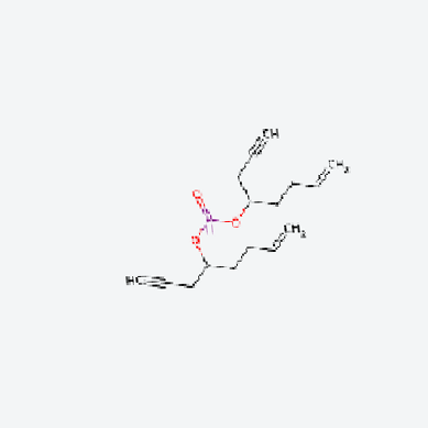 C#CCC(CCC=C)O[PH](=O)OC(CC#C)CCC=C